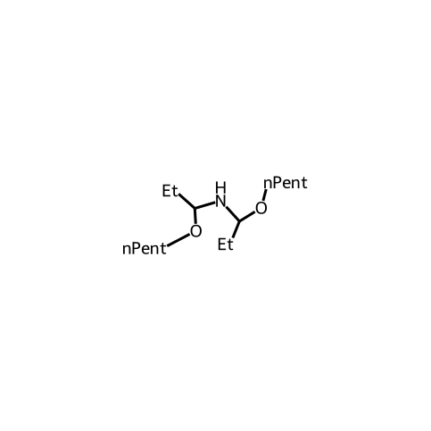 CCCCCOC(CC)NC(CC)OCCCCC